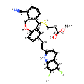 N#Cc1cccc2c1COc1ccc(/C=C/c3ccc4cc(F)c(F)cc4n3)cc1C2SCCC(=O)[O-].[Na+]